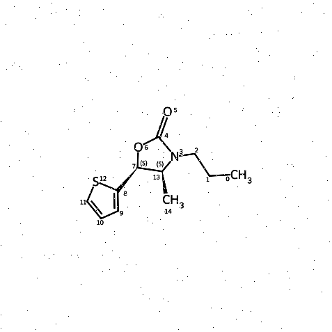 CCCN1C(=O)O[C@H](c2cccs2)[C@@H]1C